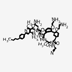 CCCCc1ccc(-c2cc(C)c(C(=O)N[C@@H](CCN)C(=O)N(C)[C@@H]3C(=O)N[C@@H](C)C(=O)N[C@H](C(=O)NCC#N)Cc4ccc(OCCN)c(c4)-c4cc3ccc4OCCN)c(C)n2)cc1